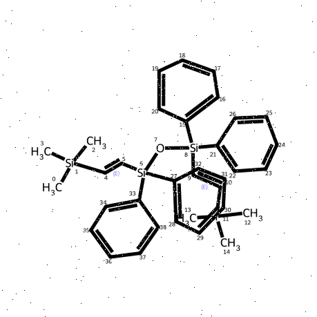 C[Si](C)(C)/C=C/[Si](O[Si](/C=C/[Si](C)(C)C)(c1ccccc1)c1ccccc1)(c1ccccc1)c1ccccc1